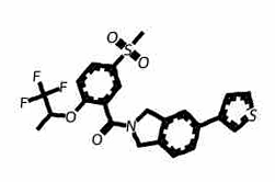 CC(Oc1ccc(S(C)(=O)=O)cc1C(=O)N1Cc2ccc(-c3ccsc3)cc2C1)C(F)(F)F